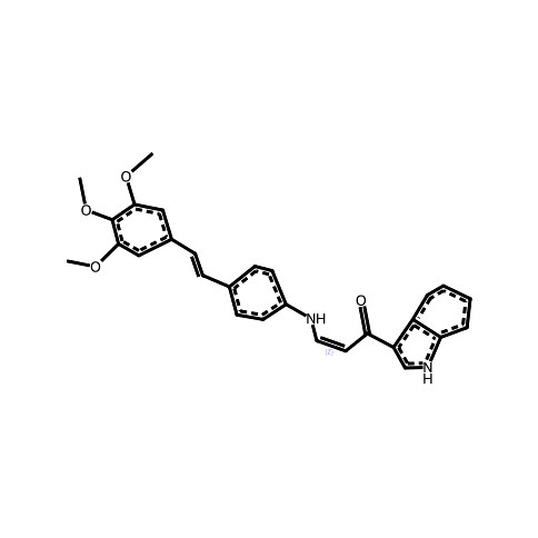 COc1cc(C=Cc2ccc(N/C=C\C(=O)c3c[nH]c4ccccc34)cc2)cc(OC)c1OC